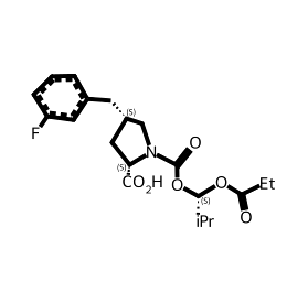 CCC(=O)O[C@@H](OC(=O)N1C[C@@H](Cc2cccc(F)c2)C[C@H]1C(=O)O)C(C)C